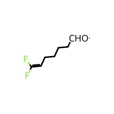 O=[C]CCCCC=C(F)F